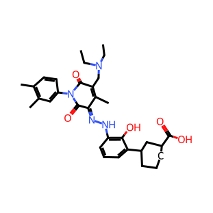 CCN(CC)CC1=C(C)/C(=N\Nc2cccc(C3CCCC(C(=O)O)C3)c2O)C(=O)N(c2ccc(C)c(C)c2)C1=O